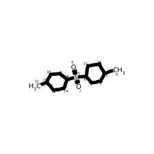 CC1CCC(S(=O)(=O)C2CCC(C)CC2)CC1